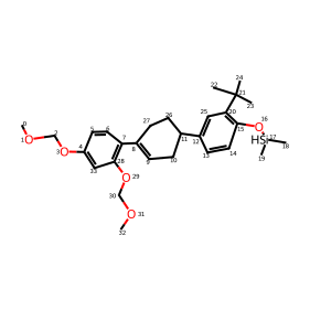 COCOc1ccc(C2=CCC(c3ccc(O[SiH](C)C)c(C(C)(C)C)c3)CC2)c(OCOC)c1